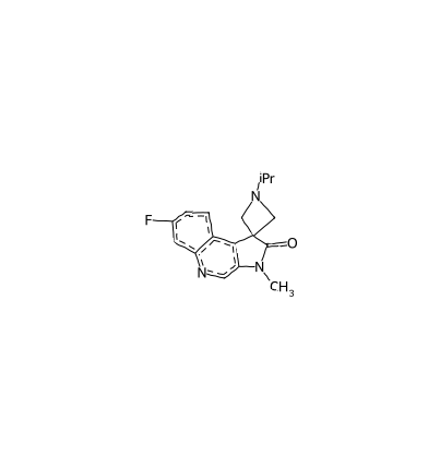 CC(C)N1CC2(C1)C(=O)N(C)c1cnc3cc(F)ccc3c12